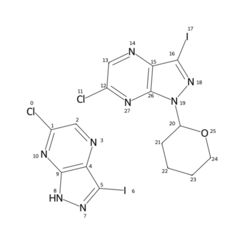 Clc1cnc2c(I)n[nH]c2n1.Clc1cnc2c(I)nn(C3CCCCO3)c2n1